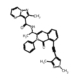 Cc1nn(C)cc1C#Cc1cccc2cc(C(C)NC(=O)c3c(C)nn4cccnc34)n(-c3ccccc3)c(=O)c12